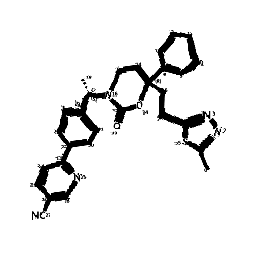 Cc1nnc(CC[C@]2(c3ccccc3)CCN([C@@H](C)c3ccc(-c4ccc(C#N)cn4)cc3)C(=O)O2)s1